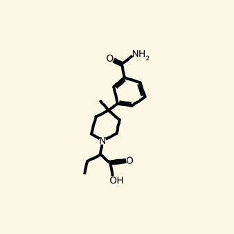 CCC(C(=O)O)N1CCC(C)(c2cccc(C(N)=O)c2)CC1